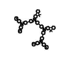 COc1ccc(N(c2ccc(OC)cc2)c2ccc(-c3ccc(N(c4ccc(-c5ccc(N(c6ccc(-c7ccc(N(c8ccc(OC)cc8)c8ccc(OC)cc8)cc7)cc6)c6ccc7c(c6)C(C)(C)c6ccccc6-7)cc5)cc4)c4ccc5c(c4)C(C)(C)c4ccccc4-5)cc3)cc2)cc1